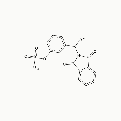 CCCC(c1cccc(OS(=O)(=O)C(F)(F)F)c1)N1C(=O)c2ccccc2C1=O